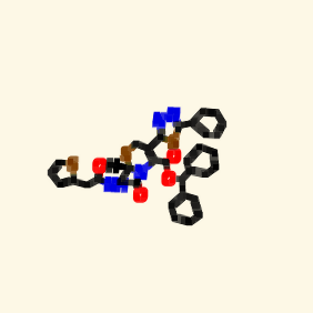 O=C(Cc1cccs1)NC1C(=O)N2C(C(=O)OC(c3ccccc3)c3ccccc3)=C(c3nnc(-c4ccccc4)s3)CS[C@@H]12